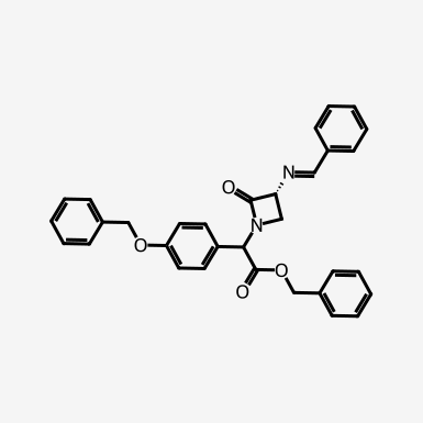 O=C(OCc1ccccc1)C(c1ccc(OCc2ccccc2)cc1)N1C[C@@H](N=Cc2ccccc2)C1=O